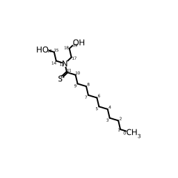 CCCCCCCCCCCC(=S)N(CCO)CCO